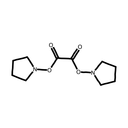 O=C(ON1CCCC1)C(=O)ON1CCCC1